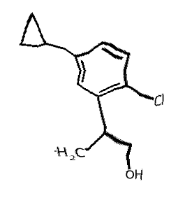 [CH2]C(CO)c1cc(C2CC2)ccc1Cl